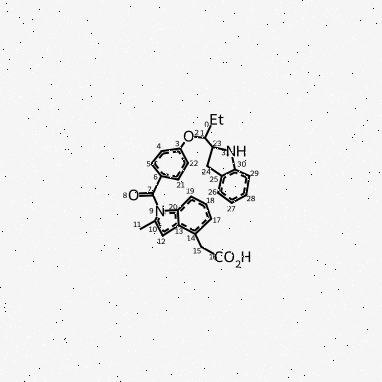 CCC(Oc1ccc(C(=O)n2c(C)cc3c(CC(=O)O)cccc32)cc1)C1Cc2ccccc2N1